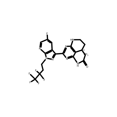 C[C@]12CCNc3nc(-c4nn(CCC(F)(F)C(F)(F)F)c5ncc(F)cc45)nc(c31)NC(=O)C2